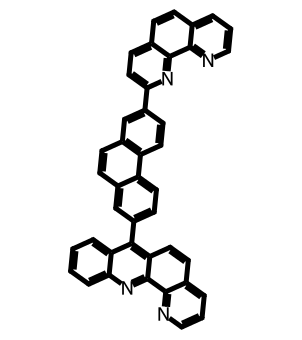 c1cnc2c(c1)ccc1ccc(-c3ccc4c(ccc5cc(-c6c7ccccc7nc7c6ccc6cccnc67)ccc54)c3)nc12